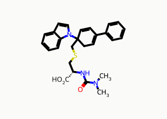 CN(C)C(=O)N[C@@H](CSCC1(n2ccc3ccccc32)C=CC(c2ccccc2)=CC1)C(=O)O